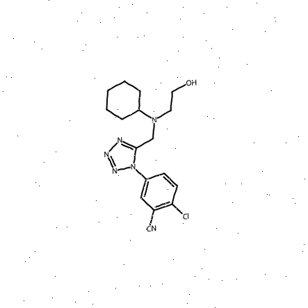 N#Cc1cc(-n2nnnc2CN(CCO)C2CCCCC2)ccc1Cl